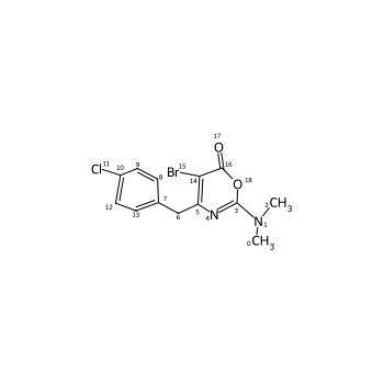 CN(C)c1nc(Cc2ccc(Cl)cc2)c(Br)c(=O)o1